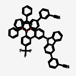 N#Cc1cccc(-c2ccc3c(c2)c2ccccc2n3-c2ccc(-c3nc(-c4ccccc4)nc(-c4ccccc4)n3)c(-c3cc(C(F)(F)F)ccc3-n3c4ccccc4c4cc(-c5cccc(C#N)c5)ccc43)c2)c1